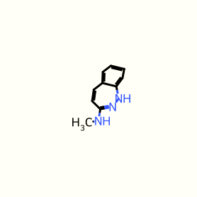 CNC1=NNc2ccccc2C=C1